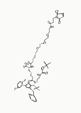 CC(C)(C)OC(=O)NCCCN(C(=O)CSCC[C@H](NC(=O)CCOCCOCCOCCOCCNC(=O)CCN1C(=O)C=CC1=O)C(=O)O)[C@@H](c1nc(-c2cc(F)ccc2F)cn1Cc1ccccc1)C(C)(C)C